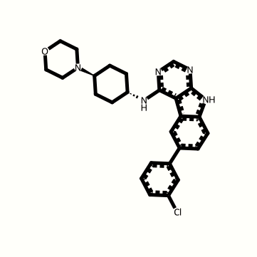 Clc1cccc(-c2ccc3[nH]c4ncnc(N[C@H]5CC[C@H](N6CCOCC6)CC5)c4c3c2)c1